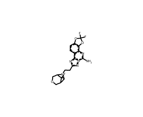 Nc1nc2c3c(ccc2c2nc(CCN4CC5COCC4C5(F)F)nn12)OC(F)(F)O3